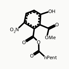 CCCCCC(=O)OC(=O)c1c([N+](=O)[O-])ccc(O)c1C(=O)OC